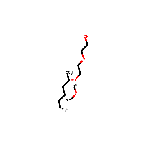 CCCOCCC.O=C(O)CCCCC(=O)O.OCCOCCO